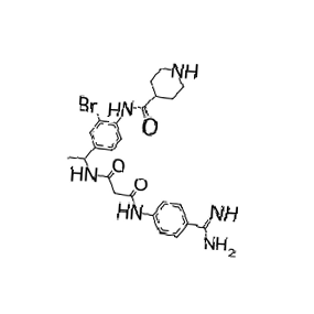 CC(NC(=O)CC(=O)Nc1ccc(C(=N)N)cc1)c1ccc(NC(=O)C2CCNCC2)c(Br)c1